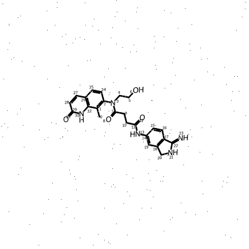 Cc1c(N(CCO)C(=O)CCC(=O)Nc2ccc3c(c2)CNC3=N)ccc2ccc(=O)[nH]c12